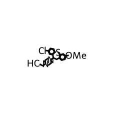 C#CCN1CCN(C2Cc3ccc(OC)cc3Sc3ccc(Cl)cc32)CC1